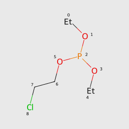 CCOP(OCC)OCCCl